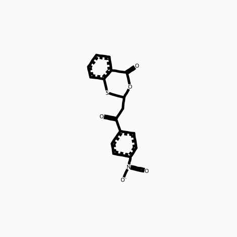 O=C(CC1OC(=O)c2ccccc2S1)c1ccc([N+](=O)[O-])cc1